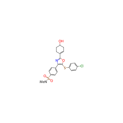 CNS(=O)(=O)c1ccc(-c2nc(C3=CCC(O)CC3)oc2Sc2ccc(Cl)cc2)cc1